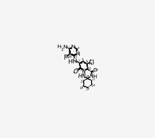 Nc1ncnc(Nc2cc(Cl)c3n(c2=O)NC2(CCCCC2)NC3=O)c1F